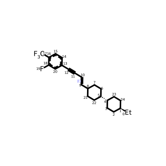 CC[C@H]1CC[C@H](C2CCC(/C=C/C#Cc3ccc(C(F)(F)F)c(F)c3)CC2)CC1